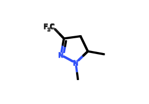 CC1CC(C(F)(F)F)=NN1C